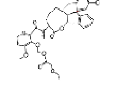 CCOCC(=O)OCOc1c(OC)ccnc1C(=O)N[C@H]1CCC[C@H](Cc2ccc(Cl)cc2)[C@@H](Cc2ccccc2)[C@H](C)OC1=O